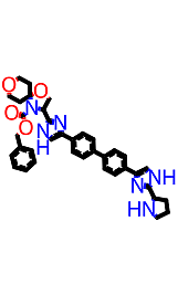 O=C(OCc1ccccc1)N1C(c2nc(-c3ccc(-c4ccc(-c5c[nH]c(C6CCCN6)n5)cc4)cc3)c[nH]2)COC12CCOCC2